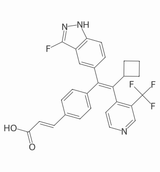 O=C(O)C=Cc1ccc(C(=C(c2ccncc2C(F)(F)F)C2CCC2)c2ccc3[nH]nc(F)c3c2)cc1